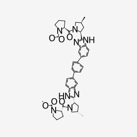 COC(=O)N1CCC[C@H]1C(=O)N1C[C@@H](C)C[C@H]1c1nc2cc(-c3ccc(-c4ccc5[nH]c([C@@H]6C[C@H](C)CN6C(=O)[C@@H]6CCCN6C(=O)OC)nc5c4)cc3)ccc2[nH]1